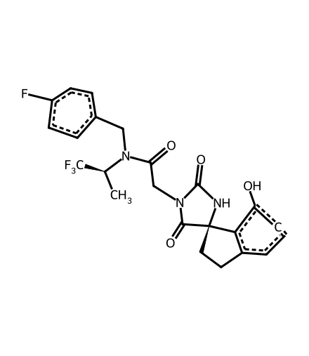 C[C@H](N(Cc1ccc(F)cc1)C(=O)CN1C(=O)N[C@@]2(CCc3cccc(O)c32)C1=O)C(F)(F)F